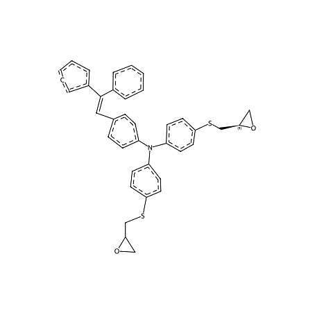 C(=C(c1ccccc1)c1ccccc1)c1ccc(N(c2ccc(SCC3CO3)cc2)c2ccc(SC[C@H]3CO3)cc2)cc1